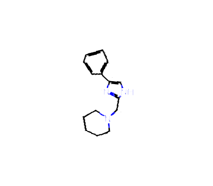 c1ccc(-c2c[nH]c(CN3CCCCC3)n2)cc1